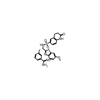 COc1ccc2nc([C@H](Cc3cccc(C(=N)N)c3)NS(=O)(=O)c3ccc4c(c3)CCC(=O)N4)sc2c1